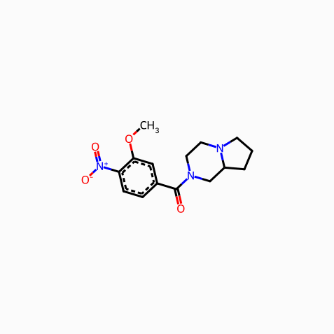 COc1cc(C(=O)N2CCN3CCCC3C2)ccc1[N+](=O)[O-]